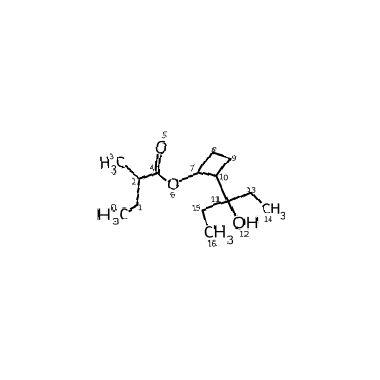 CCC(C)C(=O)OC1CCC1C(O)(CC)CC